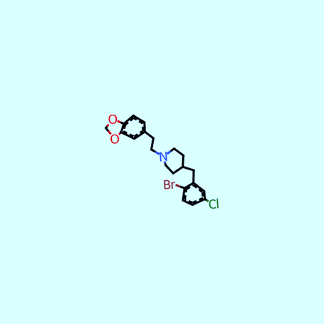 Clc1ccc(Br)c(CC2CCN(CCc3ccc4c(c3)OCO4)CC2)c1